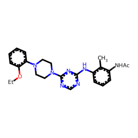 CCOc1ccccc1N1CCN(c2ncnc(Nc3cccc(NC(C)=O)c3C)n2)CC1